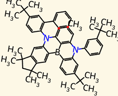 Cc1cc2c3c(c1)N(c1ccc(C(C)(C)C)cc1-c1ccccc1)c1cc4c(cc1B3c1ccc(C(C)(C)C)cc1N2c1cccc(C(C)(C)C)c1)C(C)(C)CC4(C)C